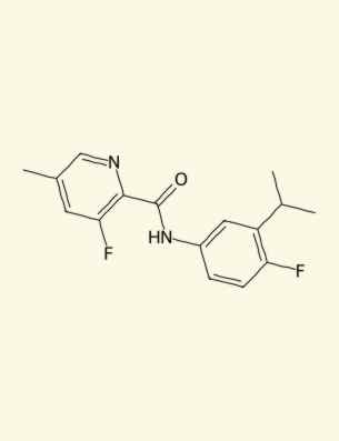 Cc1cnc(C(=O)Nc2ccc(F)c(C(C)C)c2)c(F)c1